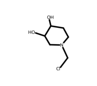 OC1CCN(CCl)CC1O